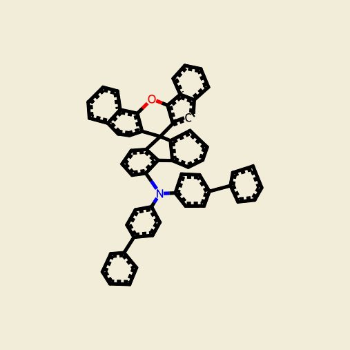 c1ccc(-c2ccc(N(c3ccc(-c4ccccc4)cc3)c3cccc4c3-c3ccccc3C43c4ccc5ccccc5c4Oc4c3ccc3ccccc43)cc2)cc1